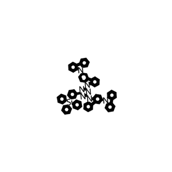 C1=CC(n2c3ccccc3c3ccccc32)Cc2c1n(-c1nc(-c3cccc([Si](c4ccccc4)(c4ccccc4)c4ccccc4)c3)nc(-n3c4ccccc4c4cc(-n5c6ccccc6c6ccccc65)ccc43)n1)c1ccccc21